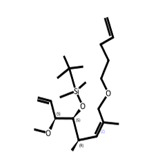 C=CCCCOC/C(C)=C\[C@@H](C)[C@H](O[Si](C)(C)C(C)(C)C)[C@H](C=C)OC